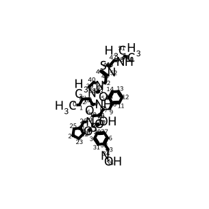 CC[C@H](C)[C@@H](C(=O)N[C@@H](Cc1ccccc1)[C@@H](O)CN(CC1CCCC1)S(=O)(=O)c1ccc(C=NO)cc1)N1CCN(Cc2csc(CNC(C)C)n2)C1=O